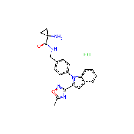 Cc1nc(-c2cc3ccccc3n2-c2ccc(CNC(=O)C3(N)CC3)cc2)no1.Cl